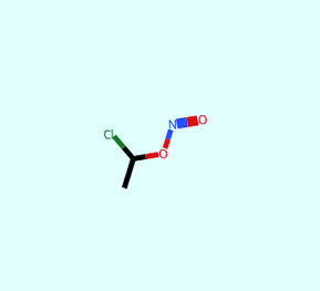 CC(Cl)ON=O